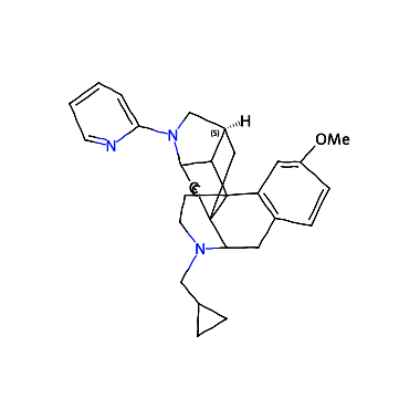 COc1ccc2c(c1)C13CCN(CC4CC4)C(C2)C12CCC1C3[C@@H](CN1c1ccccn1)C2